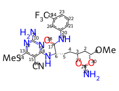 COCCC(CC[C@H](Nc1nc(N)nc(SC)c1C#N)C(=O)Nc1cccc(C(F)(F)F)c1)OC(N)=O